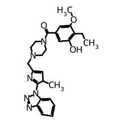 CCc1c(O)cc(C(=O)N2CCN(CC3=CC(C)C(n4nnc5ccccc54)=N3)CC2)cc1OC